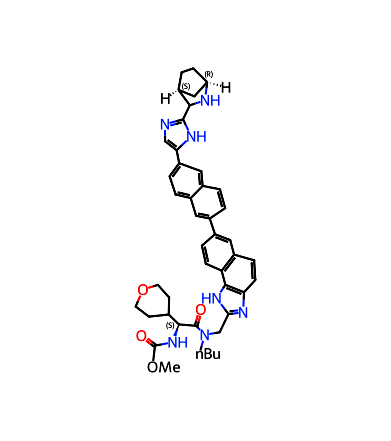 CCCCN(Cc1nc2ccc3cc(-c4ccc5cc(-c6cnc(C7N[C@@H]8CC[C@H]7C8)[nH]6)ccc5c4)ccc3c2[nH]1)C(=O)[C@@H](NC(=O)OC)C1CCOCC1